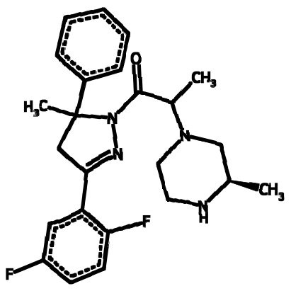 CC(C(=O)N1N=C(c2cc(F)ccc2F)CC1(C)c1ccccc1)N1CCN[C@H](C)C1